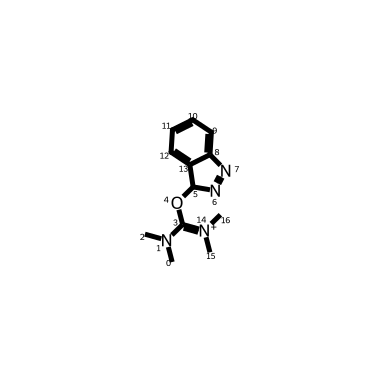 CN(C)C(OC1N=Nc2ccccc21)=[N+](C)C